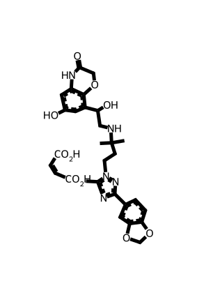 Cc1nc(-c2ccc3c(c2)OCO3)nn1CCC(C)(C)NCC(O)c1cc(O)cc2c1OCC(=O)N2.O=C(O)/C=C\C(=O)O